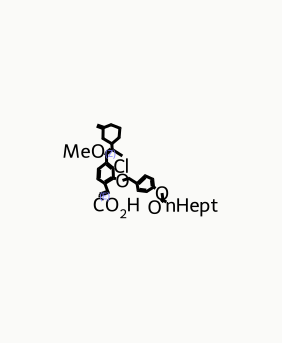 C=C1CCCC(/C(C)=C(\OC)c2ccc(/C=C/C(=O)O)c(OCc3ccc(OC(=O)CCCCCCC)cc3)c2Cl)C1